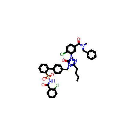 CCCCc1nn(-c2cc(C(=O)N(C)Cc3ccccc3)ccc2Cl)c(=O)n1Cc1ccc(-c2ccccc2S(=O)(=O)NC(=O)c2ccccc2Cl)cc1